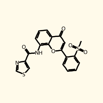 CS(=O)(=O)c1ccccc1-c1cc(=O)c2cccc(NC(=O)c3cscn3)c2o1